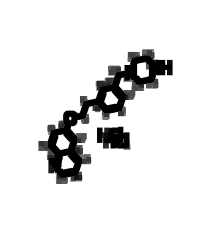 Cl.Cl.c1cc(CCOc2ccc3ncccc3c2)cc(CN2CCNCC2)c1